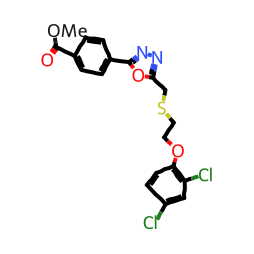 COC(=O)c1ccc(-c2nnc(CSCCOc3ccc(Cl)cc3Cl)o2)cc1